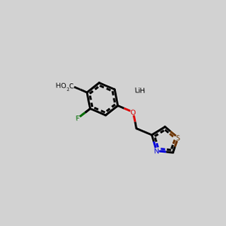 O=C(O)c1ccc(OCc2cscn2)cc1F.[LiH]